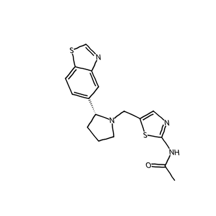 CC(=O)Nc1ncc(CN2CCC[C@@H]2c2ccc3scnc3c2)s1